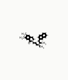 Cc1cc2c(cc1C)C(=O)N(CCCN(C)C(C)Cc1ccc3ccccc3c1)CC2